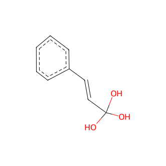 OC(O)(O)/C=C/c1ccccc1